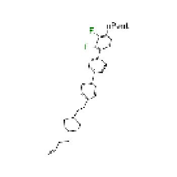 C=CCCC1CCC(CCc2ccc(-c3ccc(-c4ccc(CCCCC)c(F)c4F)cc3)cc2)CC1